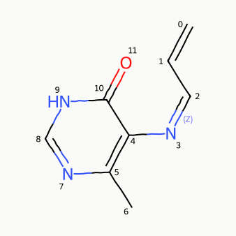 C=C/C=N\c1c(C)nc[nH]c1=O